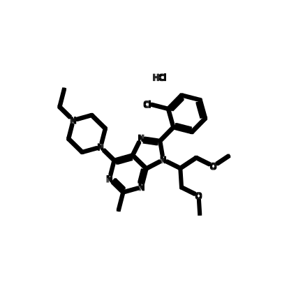 CCN1CCN(c2nc(C)nc3c2nc(-c2ccccc2Cl)n3C(COC)COC)CC1.Cl